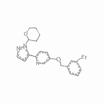 CCc1cccc(COc2ccc(-c3ccnn3C3CCCCO3)nc2)c1